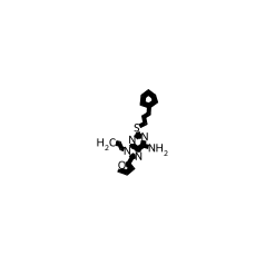 C=CCn1c(-c2ccco2)nc2c(N)nc(SCCCc3ccccc3)nc21